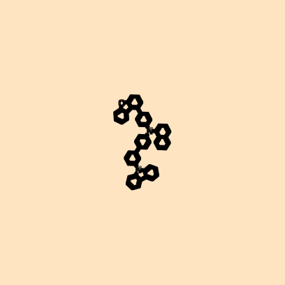 c1cc(-c2ccc(N(c3ccc(-c4cccc5oc6ccccc6c45)cc3)c3cccc4ccccc34)cc2)cc(-n2c3ccccc3c3ccccc32)c1